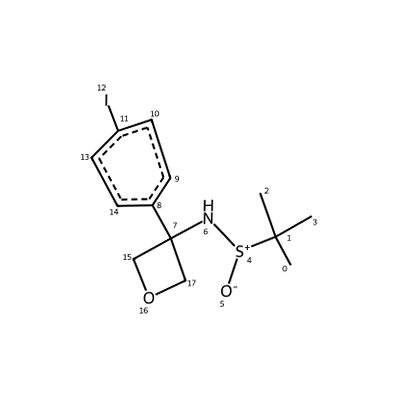 CC(C)(C)[S+]([O-])NC1(c2ccc(I)cc2)COC1